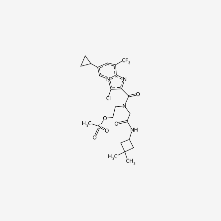 CC1(C)CC(NC(=O)CN(CCOS(C)(=O)=O)C(=O)c2nc3c(C(F)(F)F)cc(C4CC4)cn3c2Cl)C1